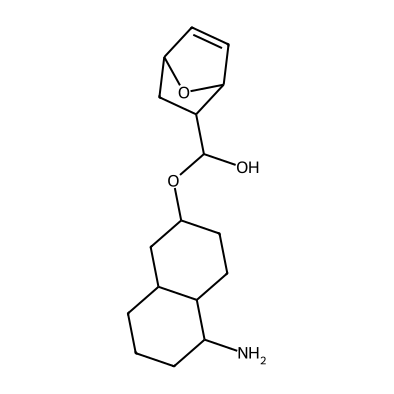 NC1CCCC2CC(OC(O)C3CC4C=CC3O4)CCC12